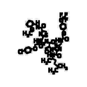 CC(C)CCC(C)NC(=O)c1nc(CNC(=O)COc2ccc(OC(F)(F)F)cc2)sc1N1COC=C1C(N)=O.COc1ccccc1CNC(=O)c1csc(CNC(=O)COc2ccc(Cl)cc2)n1